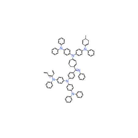 C=C/C=C(\C=C)N(c1ccccc1)c1ccc(N(c2ccc(/C(=N\c3ccccc3)C3=CC=C(N(c4ccc(N(C5=CCC(C)C=C5)c5ccccc5)cc4)c4ccc(N(c5ccccc5)c5ccccc5)cc4)C=CC3)cc2)c2ccc(N(c3ccccc3)c3ccccc3)cc2)cc1